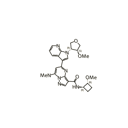 CNc1cc(-c2cn([C@@H]3COC[C@H]3OC)c3ncccc23)nc2c(C(=O)N[C@@H]3CC[C@H]3OC)cnn12